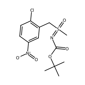 CC(C)(C)OC(=O)N=S(C)(=O)Cc1cc([N+](=O)[O-])ccc1Cl